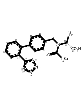 CCCCC(=O)N(Cc1ccc(-c2ccccc2-c2nnn[nH]2)cc1)[C@@H](C(=O)O)C(C)C